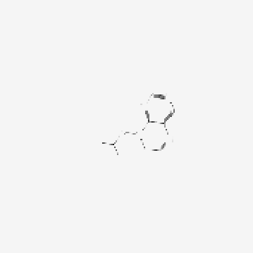 CC(NN1CC=Nc2cncnc21)C(=O)O